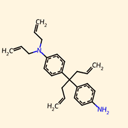 C=CCN(CC=C)c1ccc(C(CC=C)(CC=C)c2ccc(N)cc2)cc1